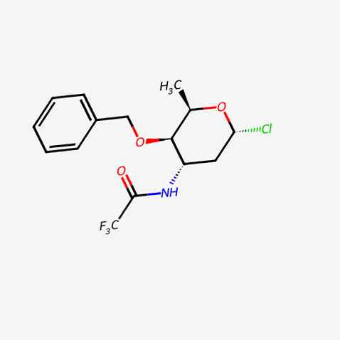 C[C@H]1O[C@H](Cl)C[C@H](NC(=O)C(F)(F)F)[C@H]1OCc1ccccc1